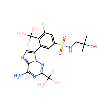 BC(B)(B)c1nc(N)c2ncc(-c3cc(S(=O)(=O)NCC(C)(C)O)cc(F)c3C(B)(B)B)n2n1